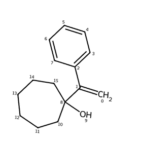 C=C(c1ccccc1)C1(O)CCCCCC1